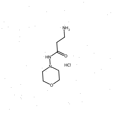 Cl.NCCC(=O)NN1CCOCC1